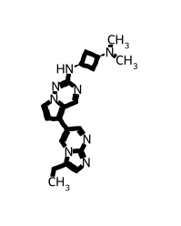 CCc1cnc2ncc(-c3ccn4nc(N[C@H]5C[C@@H](N(C)C)C5)ncc34)cn12